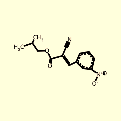 CC(C)COC(=O)/C(C#N)=C/c1cccc([N+](=O)[O-])c1